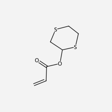 C=CC(=O)OC1CSCCS1